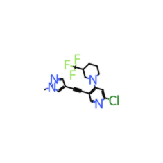 Cn1cc(C#Cc2cnc(Cl)cc2N2CCCC(C(F)(F)F)C2)cn1